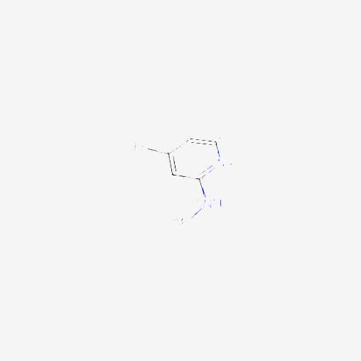 CC(C)c1ccnc(NC(C)(C)C)c1